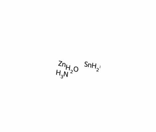 N.O.[SnH2].[Zn]